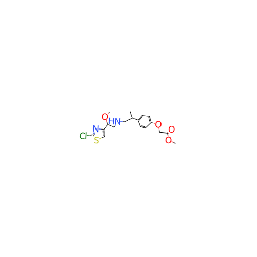 COC(=O)COc1ccc(C(C)CNCC(OC)c2csc(Cl)n2)cc1